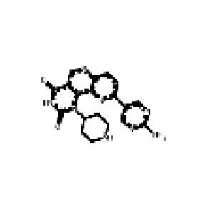 Nc1ncc(-c2ccc3ncc4c(=O)[nH]c(=O)n(C5CCNCC5)c4c3n2)cn1